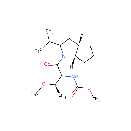 COC(=O)N[C@H](C(=O)N1C(C(C)C)C[C@@H]2CCC[C@@H]21)[C@@H](C)OC